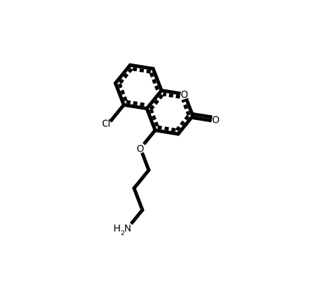 NCCCOc1cc(=O)oc2cccc(Cl)c12